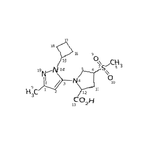 Cc1cc(N2CC(S(C)(=O)=O)CC2C(=O)O)n(C2CCC2)n1